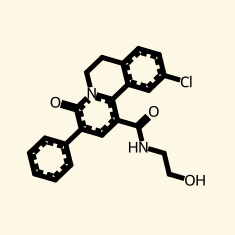 O=C(NCCO)c1cc(-c2ccccc2)c(=O)n2c1-c1cc(Cl)ccc1CC2